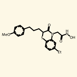 CCc1ccc2c(c1)N(CC(=O)NO)C(=O)C(CCCc1ccc(OC)cc1)S2